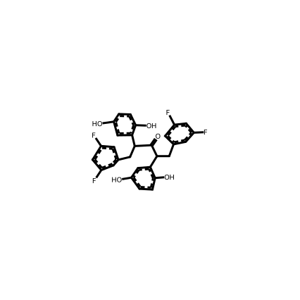 O=C(C(Cc1cc(F)cc(F)c1)c1cc(O)ccc1O)C(Cc1cc(F)cc(F)c1)c1cc(O)ccc1O